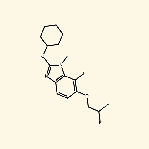 Cn1c(OC2CCCCC2)nc2ccc(OCC(F)F)c(F)c21